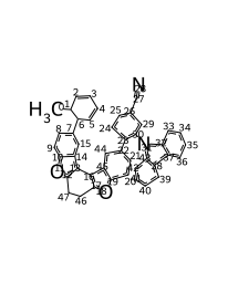 CC1C=CC=CC1c1ccc2oc3c(c2c1)-c1c(oc2ccc(-c4ccc(C#N)cc4-n4c5ccccc5c5ccccc54)cc12)CC3